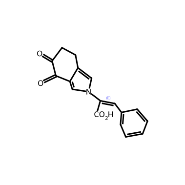 O=C1CCc2cn(/C(=C/c3ccccc3)C(=O)O)cc2C1=O